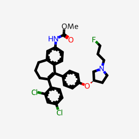 COC(=O)Nc1ccc2c(c1)CCCC(c1ccc(Cl)cc1Cl)=C2c1ccc(O[C@H]2CCN(CCCF)C2)cc1